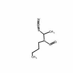 CCCCN(N=O)C(C)N=[N+]=[N-]